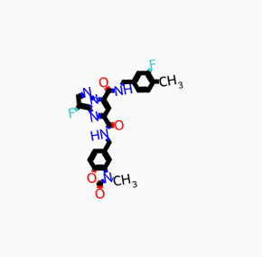 Cc1ccc(CNC(=O)c2cc(C(=O)NCc3ccc4oc(=O)n(C)c4c3)nc3c(F)cnn23)cc1F